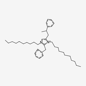 CCCCCCCCCCC[n+]1c(CC(C)c2ccccc2)cn(CCCCCCCCCC)c1Cc1ccccc1